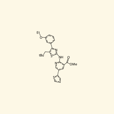 CCOc1cccc(-c2nc(Nc3ncc(-c4cccs4)cc3C(=O)OC)sc2CC(C)(C)C)c1